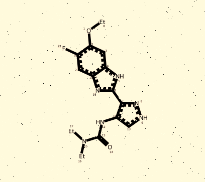 CCOc1cc2[nH]c(-c3n[nH]cc3NC(=O)N(CC)CC)nc2cc1F